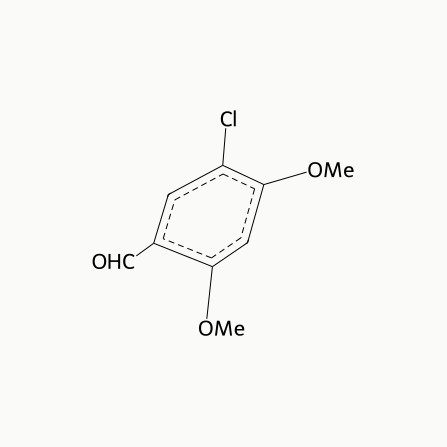 COc1cc(OC)c(C=O)cc1Cl